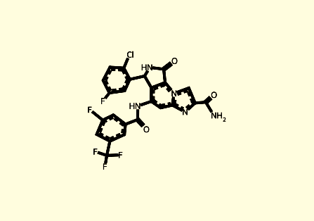 NC(=O)c1cn2c3c(c(NC(=O)c4cc(F)cc(C(F)(F)F)c4)cc2n1)C(c1cc(F)ccc1Cl)NC3=O